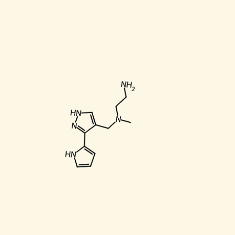 CN(CCN)Cc1c[nH]nc1-c1ccc[nH]1